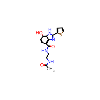 CC(=O)NCCNC(=O)c1ccc(O)c2[nH]c(-c3cccs3)nc12